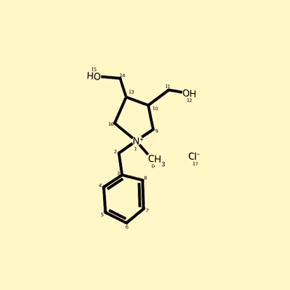 C[N+]1(Cc2ccccc2)CC(CO)C(CO)C1.[Cl-]